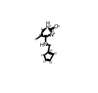 Cc1c[nH]c(=O)nc1NCC1=CC=CC1